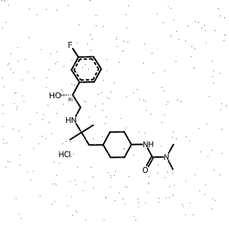 CN(C)C(=O)NC1CCC(CC(C)(C)NC[C@H](O)c2cccc(F)c2)CC1.Cl